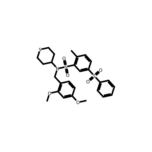 COc1ccc(CN(C2CCSCC2)S(=O)(=O)c2cc(S(=O)(=O)c3ccccc3)ccc2C)c(OC)c1